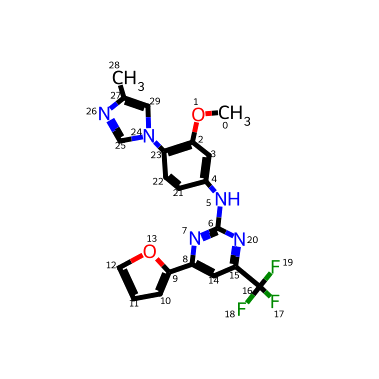 COc1cc(Nc2nc(-c3ccco3)cc(C(F)(F)F)n2)ccc1-n1cnc(C)c1